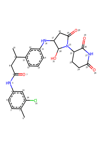 Cc1ccc(NC(=O)CC(C)c2cccc(NC3CC(=O)N(C4CCC(=O)NC4=O)C3O)c2)cc1Cl